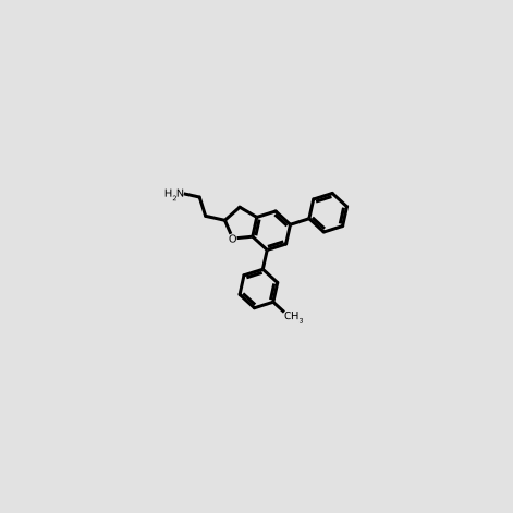 Cc1cccc(-c2cc(-c3ccccc3)cc3c2OC(CCN)C3)c1